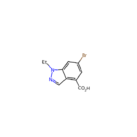 CCn1ncc2c(C(=O)O)cc(Br)cc21